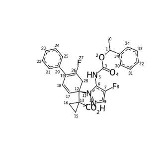 CC(OC(=O)Nc1c(F)cnn1[C@@]1(C2(C(=O)O)CC2)C=CC(c2ccccc2)=C(F)C1)c1ccccc1